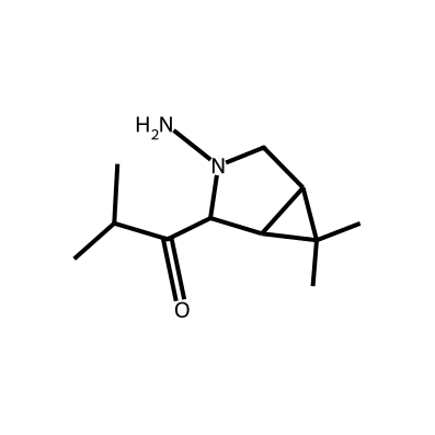 CC(C)C(=O)C1C2C(CN1N)C2(C)C